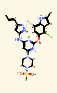 C/C=C/c1cc(Nc2cc(N3CCN(S(C)(=O)=O)CC3)nc(Oc3cc(F)c4[nH]c(C)cc4c3F)n2)n[nH]1